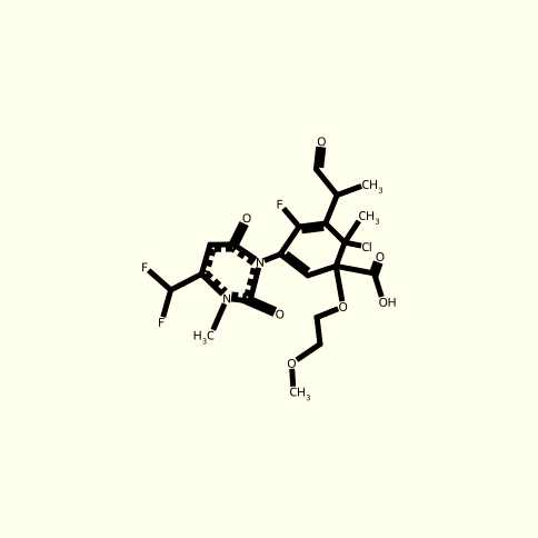 COCCOC1(C(=O)O)C=C(n2c(=O)cc(C(F)F)n(C)c2=O)C(F)=C(C(C)C=O)C1(C)Cl